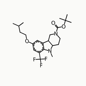 CC(C)CCOc1cc2c(c(C(F)(F)F)c1)N(C)C1CCN(C(=O)OC(C)(C)C)CC21